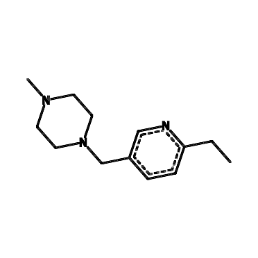 CCc1ccc(CN2CCN(C)CC2)cn1